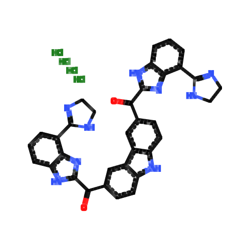 Cl.Cl.Cl.Cl.O=C(c1ccc2[nH]c3ccc(C(=O)c4nc5c(C6=NCCN6)cccc5[nH]4)cc3c2c1)c1nc2c(C3=NCCN3)cccc2[nH]1